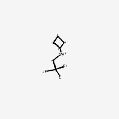 FC(F)(F)CNC1CCC1